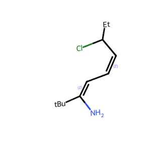 CCC(Cl)/C=C\C=C(/N)C(C)(C)C